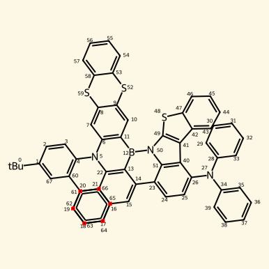 CC(C)(C)c1ccc(N2c3cc4c(cc3B3c5c(cc6ccccc6c52)-c2ccc(N(c5ccccc5)c5ccccc5)c5c6c7ccccc7sc6n3c25)Sc2ccccc2S4)c(-c2ccccc2)c1